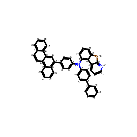 c1ccc(-c2ccc(N(c3ccc(-c4cc5c6ccccc6ccc5c5ccccc45)cc3)c3cccc4sc5ncccc5c34)cc2)cc1